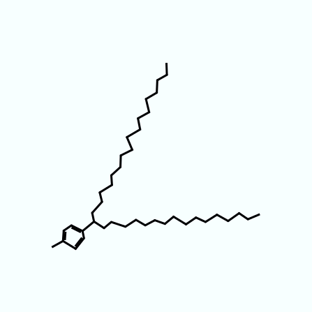 CCCCCCCCCCCCCCCCCC(CCCCCCCCCCCCCCCC)c1ccc(C)cc1